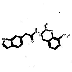 O=C(Cc1ccc2cc[nH]c2c1)N[C@H]1Cc2cccc(C(=O)O)c2OB1O